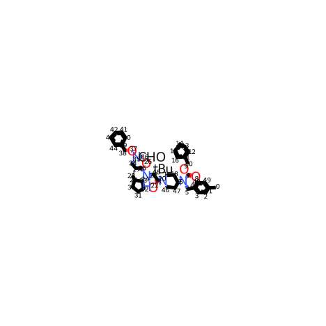 Cc1ccc(CN(C(=O)OCc2ccccc2)C2CCN(C(=O)[C@@H](NC(=O)[C@H](CC3CCCC3)CN(C=O)OCc3ccccc3)C(C)(C)C)CC2)cc1